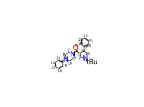 CC(C)(C)N1C[C@@H](C(=O)N2CCN(c3ccccc3)CC2)[C@H](c2ccccc2)C1